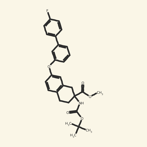 COC(=O)C1(NC(=O)OC(C)(C)C)CCc2ccc(Oc3cccc(-c4ccc(F)cc4)c3)cc2C1